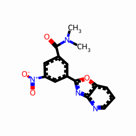 CN(C)C(=O)c1cc(-c2nc3ncccc3o2)cc([N+](=O)[O-])c1